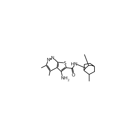 Cc1nnc2sc(C(=O)NC3C(C)CC4CCC3C(C)C4)c(N)c2c1C